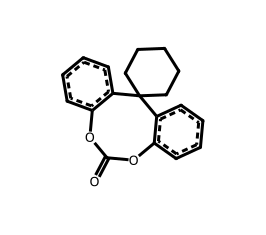 O=C1Oc2ccccc2C2(CCCCC2)c2ccccc2O1